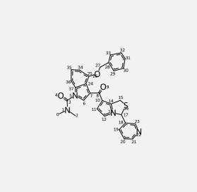 CN(C)C(=O)n1cc(C(=O)c2ccn3c2CSC3c2cccnc2)c2c(OCc3ccccc3)cccc21